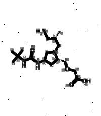 C[C@@H](CN)CN1C[C@H](NC(=O)NC(C)(C)C)C[C@H]1COCC(=O)O